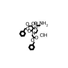 CC(C(=O)OCc1ccccc1)C1C(=O)N(CC(=O)OCc2ccccc2)CCN1C(=O)CN.Cl